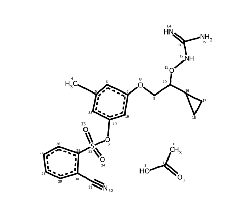 CC(=O)O.Cc1cc(OCC(ONC(=N)N)C2CC2)cc(OS(=O)(=O)c2ccccc2C#N)c1